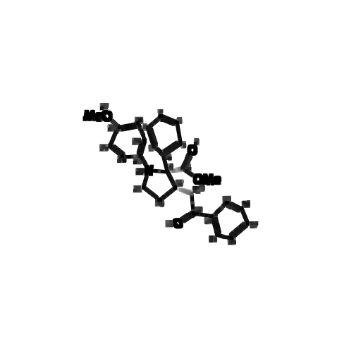 COC(=O)[C@]1(c2ccccc2)[C@H](CC(=O)c2ccccc2)CCN1c1ccc(OC)cc1